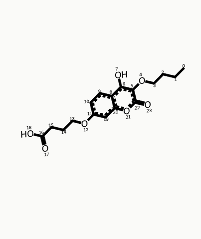 CCCCOc1c(O)c2ccc(OCCCC(=O)O)cc2oc1=O